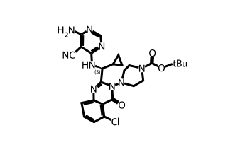 CC(C)(C)OC(=O)N1CCN(n2c([C@@H](Nc3ncnc(N)c3C#N)C3CC3)nc3cccc(Cl)c3c2=O)CC1